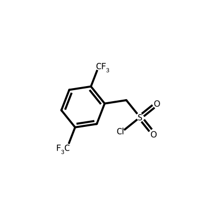 O=S(=O)(Cl)Cc1cc(C(F)(F)F)ccc1C(F)(F)F